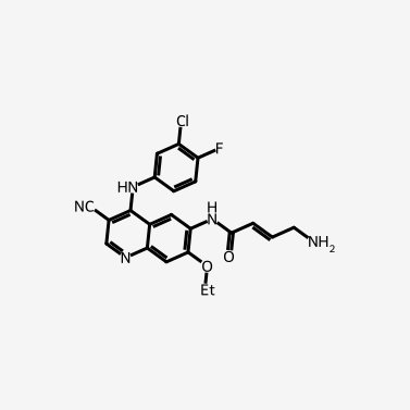 CCOc1cc2ncc(C#N)c(Nc3ccc(F)c(Cl)c3)c2cc1NC(=O)C=CCN